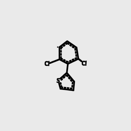 Clc1[c]ccc(Cl)c1-c1cccs1